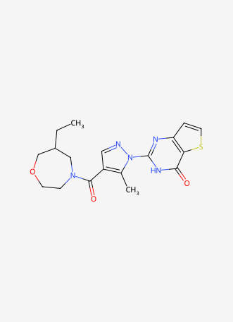 CCC1COCCN(C(=O)c2cnn(-c3nc4ccsc4c(=O)[nH]3)c2C)C1